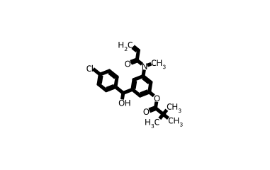 C=CC(=O)N(C)c1cc(OC(=O)C(C)(C)C)cc(C(O)c2ccc(Cl)cc2)c1